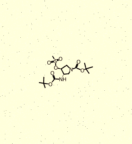 CC(C)(C)OC(=O)N[C@H]1CN(C(=O)OC(C)(C)C)C[C@@H]1OS(C)(=O)=O